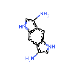 Nc1c[nH]c2cc3c(N)c[nH]c3cc12